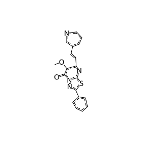 COc1c(/C=C/c2cccnc2)nc2sc(-c3ccccc3)nn2c1=O